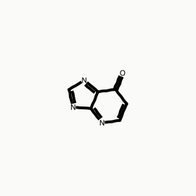 O=C1C=CN=C2N=CN=C12